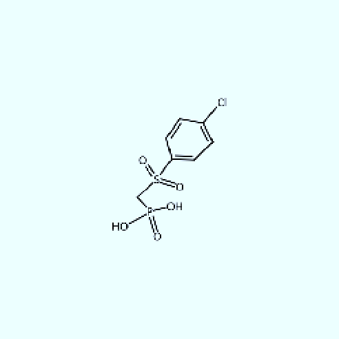 O=P(O)(O)CS(=O)(=O)c1ccc(Cl)cc1